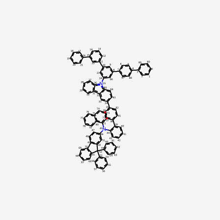 c1ccc(-c2ccc(-c3cc(-c4cccc(-c5ccccc5)c4)cc(-n4c5ccccc5c5cc(-c6ccc(-c7ccccc7N(c7ccc8c(c7)C(c7ccccc7)(c7ccccc7)c7ccccc7-8)c7cccc8ccccc78)cc6)ccc54)c3)cc2)cc1